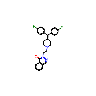 O=c1c2ccccc2cnn1CCN1CCC(=C(c2ccc(F)cc2)c2ccc(F)cc2)CC1